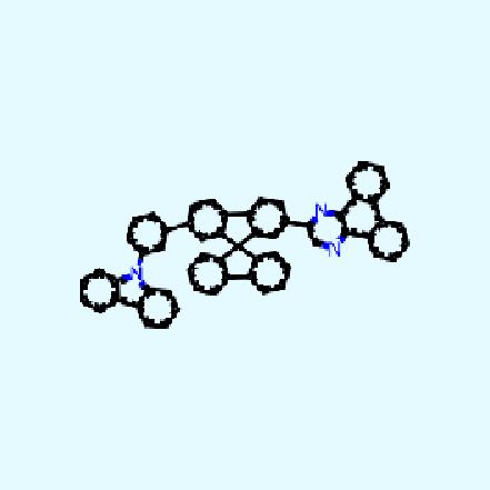 c1cc(-c2ccc3c(c2)C2(c4ccccc4-c4ccccc42)c2cc(-c4cnc5c6ccccc6c6ccccc6c5n4)ccc2-3)cc(-n2c3ccccc3c3ccccc32)c1